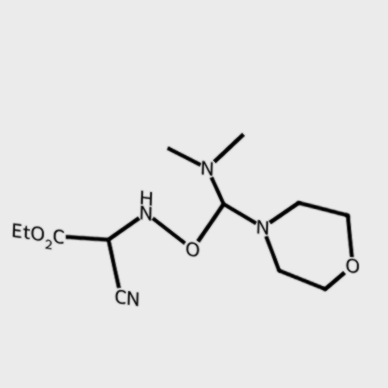 CCOC(=O)C(C#N)NOC(N(C)C)N1CCOCC1